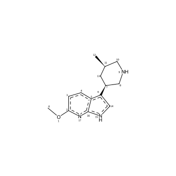 COc1ccc2c([C@@H]3CNC[C@H](C)C3)c[nH]c2n1